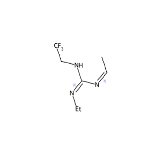 C/C=N\C(=N/CC)NCC(F)(F)F